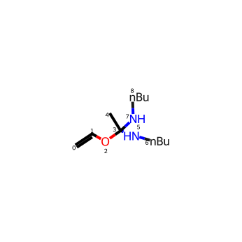 C=COC(C)(NCCCC)NCCCC